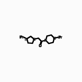 CC(C)[C@@H]1CCN(CC(=O)N2CCN(C(C)C)CC2)C1